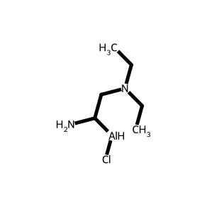 CCN(CC)C[CH](N)[AlH][Cl]